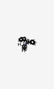 C/C(OS(=O)(=O)C(F)(F)F)=C1/C[C@H](c2ccccc2)O[C@@H]1c1ccc2ccccc2c1